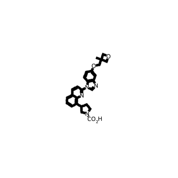 CC1(COc2ccc3c(c2)ncn3-c2ccc3cccc(C4CCN(C(=O)O)C4)c3n2)COC1